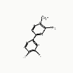 Nc1cc(-c2ccc(F)c(F)c2)ccc1C(=O)O